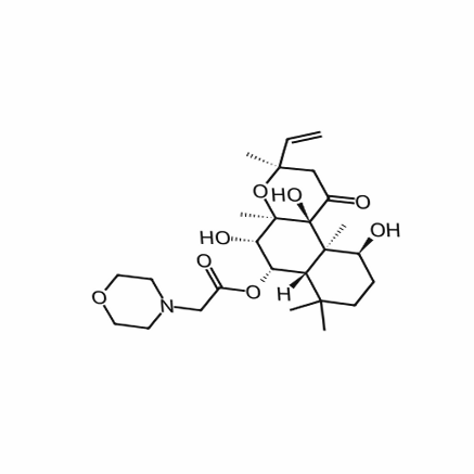 C=C[C@@]1(C)CC(=O)[C@]2(O)[C@@]3(C)[C@@H](O)CCC(C)(C)[C@@H]3[C@H](OC(=O)CN3CCOCC3)[C@H](O)[C@@]2(C)O1